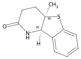 C[C@@]12CCC(=O)N[C@@H]1c1ccccc1S2